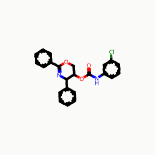 O=C(Nc1cccc(Cl)c1)OC1COC(c2ccccc2)=NC1c1ccccc1